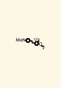 CNc1ccc(/C=C/c2ccc(OCCF)c([123I])c2)cc1